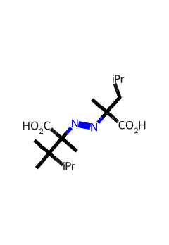 CC(C)CC(C)(/N=N/C(C)(C(=O)O)C(C)(C)C(C)C)C(=O)O